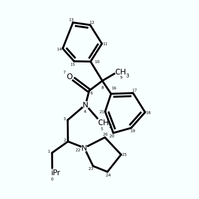 CC(C)CC(CN(C)C(=O)C(C)(c1ccccc1)c1ccccc1)N1CCCC1